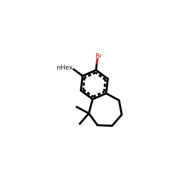 CCCCCCc1cc2c(cc1Br)CCCCC2(C)C